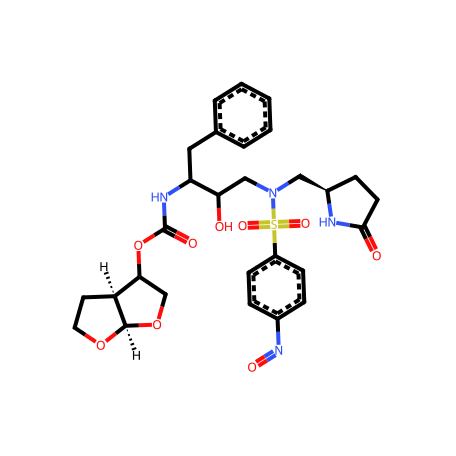 O=Nc1ccc(S(=O)(=O)N(CC(O)C(Cc2ccccc2)NC(=O)OC2CO[C@H]3OCC[C@@H]23)C[C@H]2CCC(=O)N2)cc1